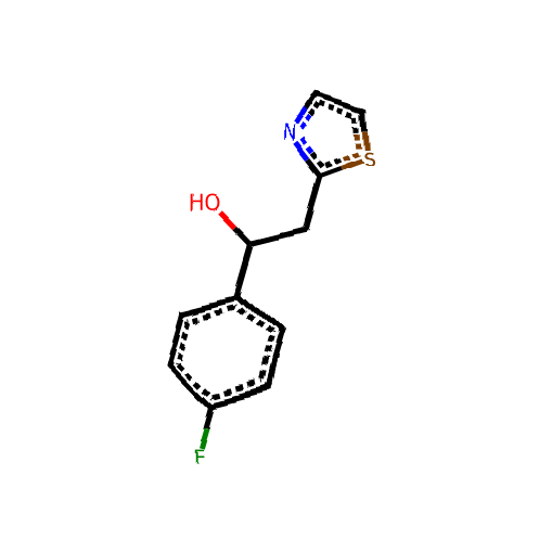 OC(Cc1nccs1)c1ccc(F)cc1